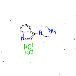 Cl.Cl.c1ccc2c(N3CCNCC3)ccnc2c1